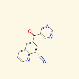 N#Cc1cc(C(=O)c2cncnc2)cc2cccnc12